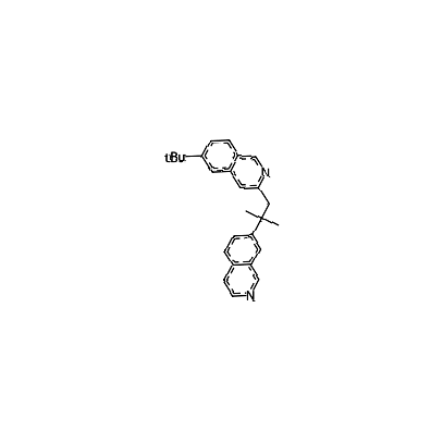 CC(C)(C)c1ccc2cnc(CC(C)(C)c3ccc4ccncc4c3)cc2c1